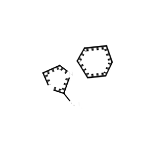 Nc1ncco1.c1ccccc1